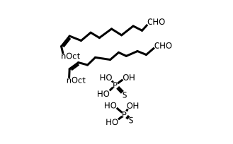 CCCCCCCC/C=C\CCCCCCCC=O.CCCCCCCC/C=C\CCCCCCCC=O.OP(O)(O)=S.OP(O)(O)=S